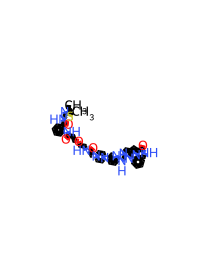 Cc1nc(NC(=O)c2ccccc2NC(=O)CCOCCNC(=O)CN2CCN(c3ccc(Nc4ncc5cc6n(c5n4)C4(CCCCC4)CNC6=O)nc3)CC2)sc1C